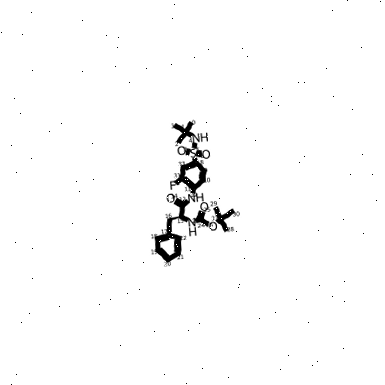 CC(C)(C)NS(=O)(=O)c1ccc(NC(=O)[C@H](Cc2ccccc2)NC(=O)OC(C)(C)C)c(F)c1